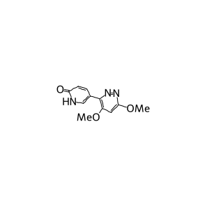 COc1cc(OC)c(-c2ccc(=O)[nH]c2)nn1